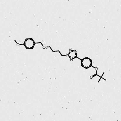 COc1ccc(COCCCCn2nnc(-c3ccc(OC(=O)C(C)(C)C)cc3)n2)cc1